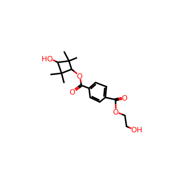 CC1(C)C(O)C(C)(C)C1OC(=O)c1ccc(C(=O)OCCO)cc1